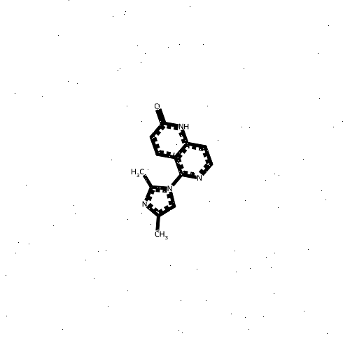 Cc1cn(-c2nccc3[nH]c(=O)ccc23)c(C)n1